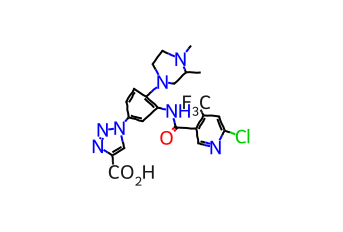 CC1CN(c2ccc(-n3cc(C(=O)O)nn3)cc2NC(=O)c2cnc(Cl)cc2C(F)(F)F)CCN1C